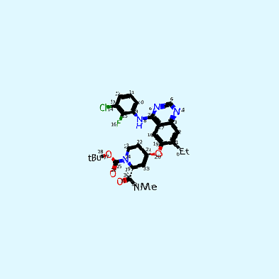 CCc1cc2ncnc(Nc3cccc(Cl)c3F)c2cc1O[C@@H]1CCN(C(=O)OC(C)(C)C)[C@@H](C(=O)NC)C1